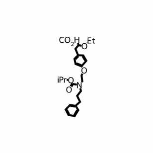 CCOC(Cc1ccc(OCCN(CCCc2ccccc2)C(=O)OC(C)C)cc1)C(=O)O